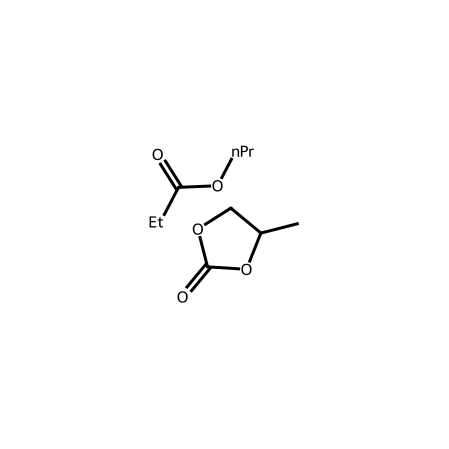 CC1COC(=O)O1.CCCOC(=O)CC